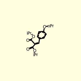 CCCOc1ccc(C=C(C(=O)OC(C)C)C(=O)OC(C)C)cc1